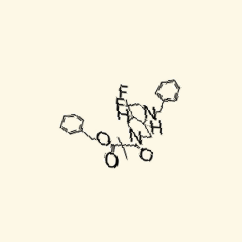 CC(C)(C(=O)OCc1ccccc1)C(=O)N1C[C@@H]2[C@H](C1)N(Cc1ccccc1)CC2(F)F